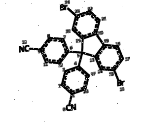 N#Cc1ccc(C2(c3ccc(C#N)cc3)c3cc(Br)ccc3-c3ccc(Br)cc32)cc1